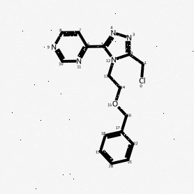 ClCc1nnc(-c2ccncn2)n1CCOCc1ccccc1